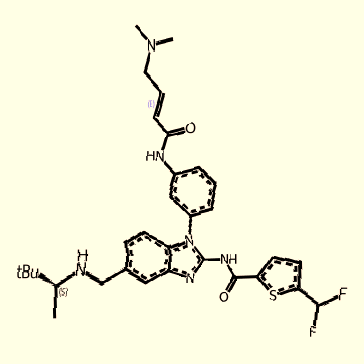 C[C@H](NCc1ccc2c(c1)nc(NC(=O)c1ccc(C(F)F)s1)n2-c1cccc(NC(=O)/C=C/CN(C)C)c1)C(C)(C)C